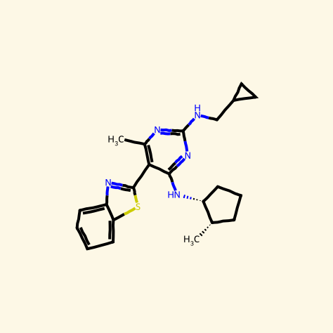 Cc1nc(NCC2CC2)nc(N[C@@H]2CCC[C@@H]2C)c1-c1nc2ccccc2s1